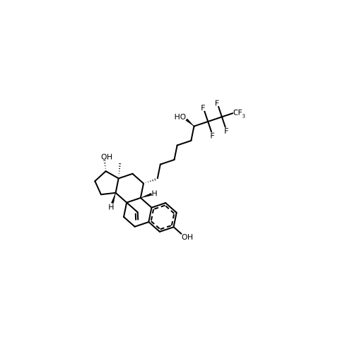 C=CC12CCc3cc(O)ccc3[C@H]1[C@@H](CCCCC[C@@H](O)C(F)(F)C(F)(F)C(F)(F)F)C[C@]1(C)[C@@H](O)CC[C@@H]21